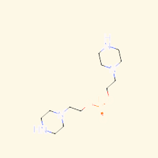 O=[PH](OCCN1CCNCC1)OCCN1CCNCC1